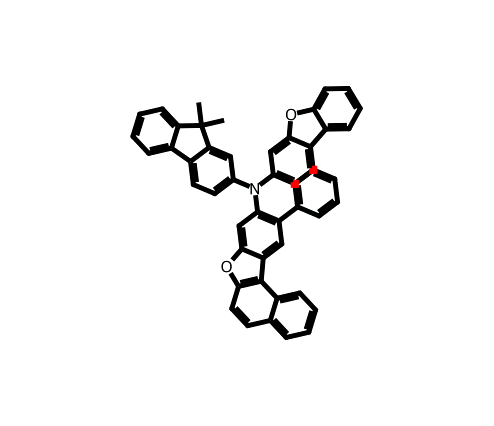 CC1(C)c2ccccc2-c2ccc(N(c3ccc4c(c3)oc3ccccc34)c3cc4oc5ccc6ccccc6c5c4cc3-c3ccccc3)cc21